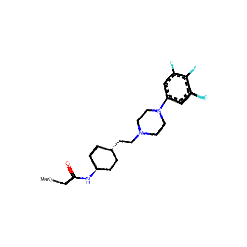 COCC(=O)N[C@H]1CC[C@H](CCN2CCN(c3cc(F)c(F)c(F)c3)CC2)CC1